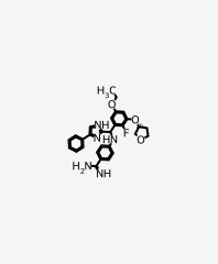 CCOc1cc(O[C@@H]2CCOC2)c(F)c(C(Nc2ccc(C(=N)N)cc2)c2nc(-c3ccccc3)c[nH]2)c1